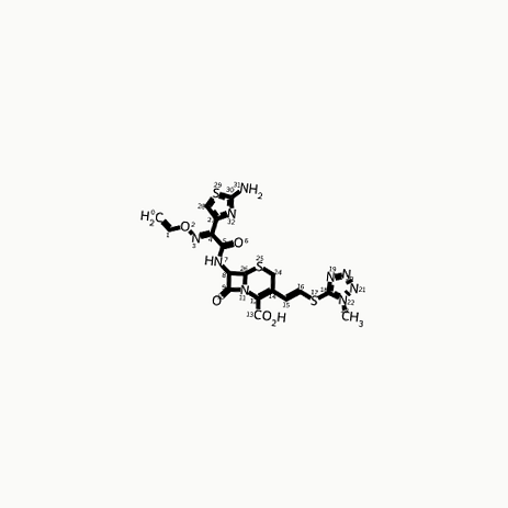 C=CON=C(C(=O)NC1C(=O)N2C(C(=O)O)=C(C=CSc3nnnn3C)CSC12)c1csc(N)n1